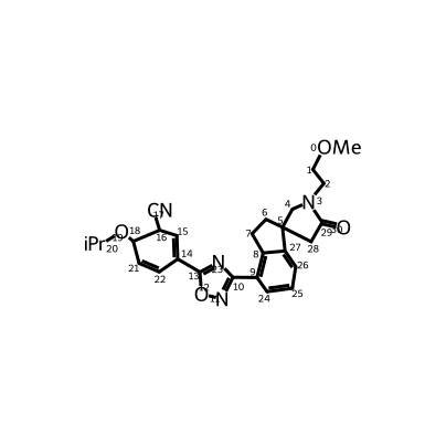 COCCN1CC2(CCc3c(-c4noc(C5=CC(C#N)C(OC(C)C)C=C5)n4)cccc32)CC1=O